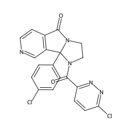 O=C(c1ccc(Cl)nn1)N1CCN2C(=O)c3ccncc3C12c1ccc(Cl)cc1